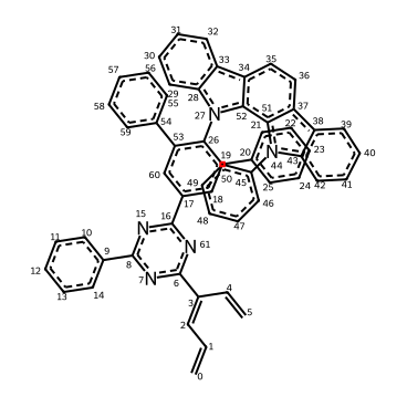 C=C/C=C(\C=C)c1nc(-c2ccccc2)nc(-c2cc(-c3ccccc3)c(-n3c4ccccc4c4ccc5c6ccccc6n(-c6ccccc6)c5c43)c(-c3ccccc3)c2)n1